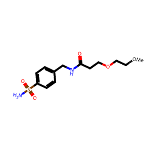 COCCOCCC(=O)NCc1ccc(S(N)(=O)=O)cc1